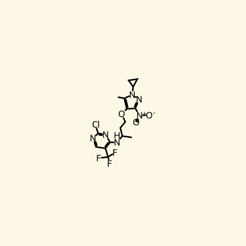 Cc1c(OCCC(C)Nc2nc(Cl)ncc2C(F)(F)F)c([N+](=O)[O-])nn1C1CC1